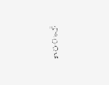 C/C=C\COCC1CCC([C@H]2CC[C@H](/C=C/CCC)CC2)CC1